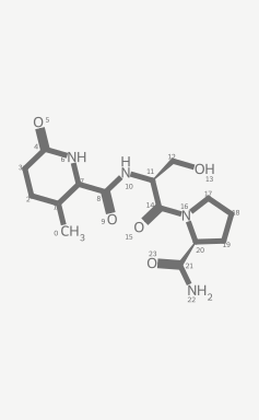 CC1CCC(=O)NC1C(=O)N[C@@H](CO)C(=O)N1CCC[C@H]1C(N)=O